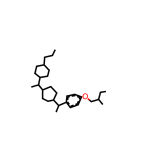 CCCC1CCC(C(C)C2CCC(C(C)c3ccc(OCC(C)CC)cc3)CC2)CC1